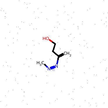 C=C(CCO)/N=N\C